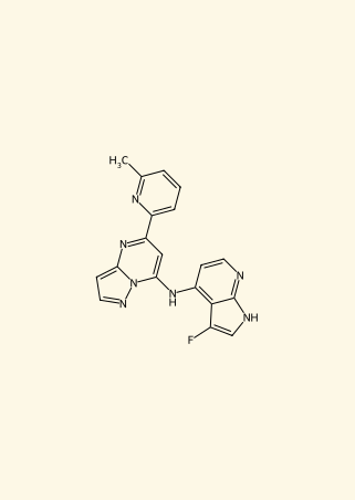 Cc1cccc(-c2cc(Nc3ccnc4[nH]cc(F)c34)n3nccc3n2)n1